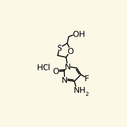 Cl.Nc1nc(=O)n(C2CSC(CO)O2)cc1F